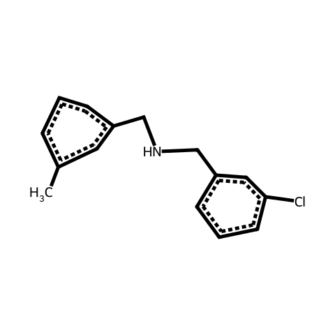 Cc1cccc(CNCc2cccc(Cl)c2)c1